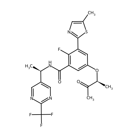 CC(=O)[C@H](C)Oc1cc(C(=O)N[C@H](C)c2cnc(C(F)(F)F)nc2)c(F)c(-c2ncc(C)s2)c1